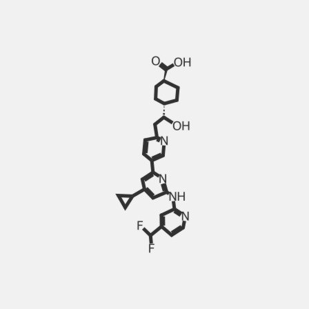 O=C(O)[C@H]1CC[C@H](C(O)Cc2ccc(-c3cc(C4CC4)cc(Nc4cc(C(F)F)ccn4)n3)cn2)CC1